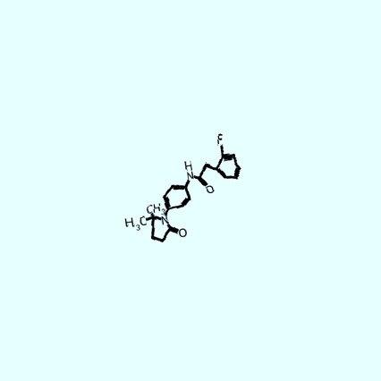 CC1(C)CCC(=O)N1c1ccc(NC(=O)Cc2ccccc2F)cc1